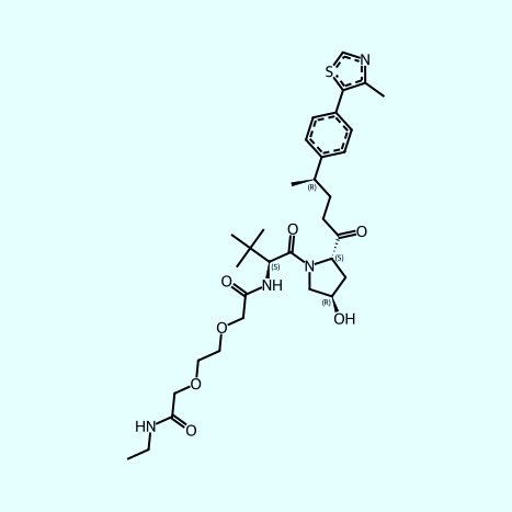 CCNC(=O)COCCOCC(=O)N[C@H](C(=O)N1C[C@H](O)C[C@H]1C(=O)CC[C@@H](C)c1ccc(-c2scnc2C)cc1)C(C)(C)C